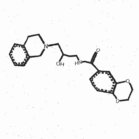 O=C(NCC(O)CN1CCc2ccccc2C1)c1ccc2c(c1)OCCO2